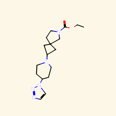 CCOC(=O)N1CCC2(CC(N3CCC(n4ccnn4)CC3)C2)C1